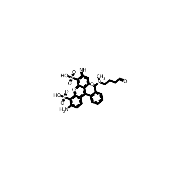 CN(CCCC=O)C(=O)c1ccccc1-c1c2ccc(=N)c(S(=O)(=O)O)c-2oc2c(S(=O)(=O)O)c(N)ccc12